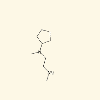 CNCCN(C)C1CCCC1